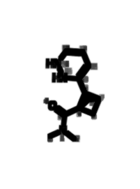 CN(C)C(=O)C12CC(C1)C2C1=CC=CNN1